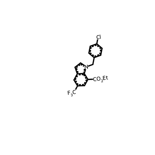 CCOC(=O)c1cc(C(F)(F)F)cc2ccn(Cc3ccc(Cl)cc3)c12